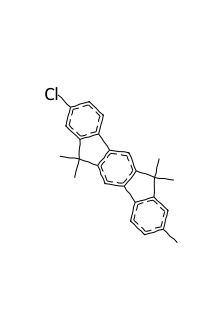 Cc1ccc2c(c1)C(C)(C)c1cc3c(cc1-2)C(C)(C)c1cc(Cl)ccc1-3